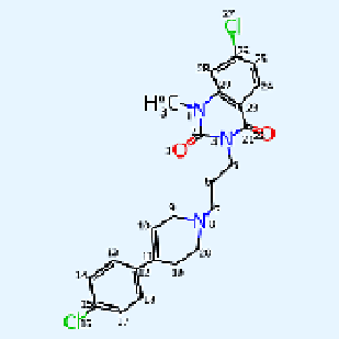 Cn1c(=O)n(CCCN2CC=C(c3ccc(Cl)cc3)CC2)c(=O)c2ccc(Cl)cc21